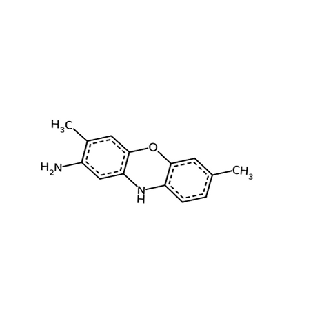 Cc1ccc2c(c1)Oc1cc(C)c(N)cc1N2